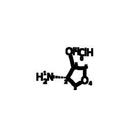 Cl.N[C@H]1COCC1O